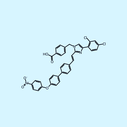 O=C(O)c1ccc(Cn2cc(-c3ccc(Cl)cc3Cl)nc2C=Cc2ccc(-c3ccc(Oc4ccc([N+](=O)[O-])cc4)cc3)cc2)cc1